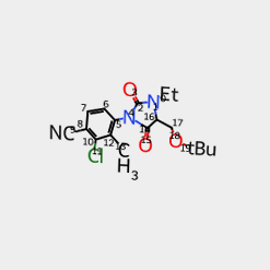 CCN1C(=O)N(c2ccc(C#N)c(Cl)c2C)C(=O)C1COC(C)(C)C